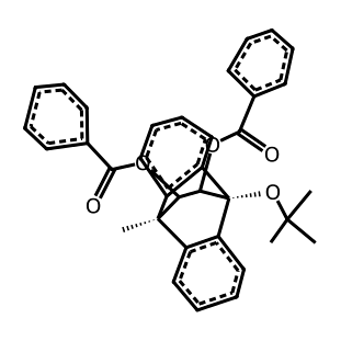 CC(C)(C)O[C@]12c3ccccc3[C@](C)(c3ccccc31)C(OC(=O)c1ccccc1)C2OC(=O)c1ccccc1